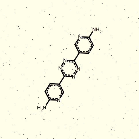 Nc1ccc(-c2nnc(-c3ccc(N)nc3)nn2)cn1